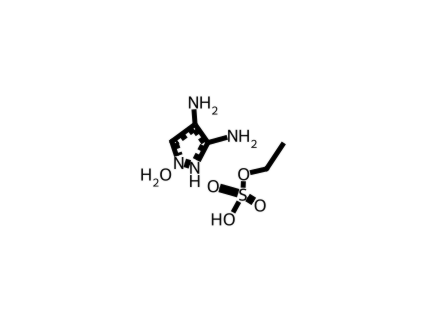 CCOS(=O)(=O)O.Nc1cn[nH]c1N.O